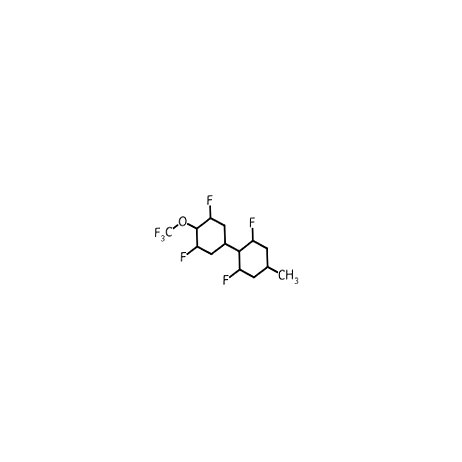 CC1CC(F)C(C2CC(F)C(OC(F)(F)F)C(F)C2)C(F)C1